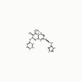 CN1C(=O)C(Cc2ccccc2)Sc2cc(C#CCn3cncn3)ncc21